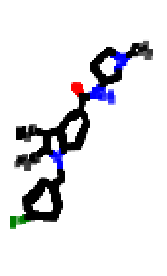 Cc1c(C)n(Cc2ccc(F)cc2)c2ccc(C(=O)NC3CCN(C)C3)cc12